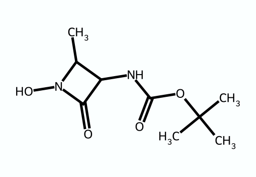 CC1C(NC(=O)OC(C)(C)C)C(=O)N1O